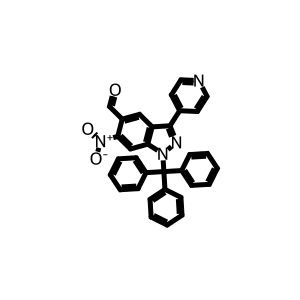 O=Cc1cc2c(-c3ccncc3)nn(C(c3ccccc3)(c3ccccc3)c3ccccc3)c2cc1[N+](=O)[O-]